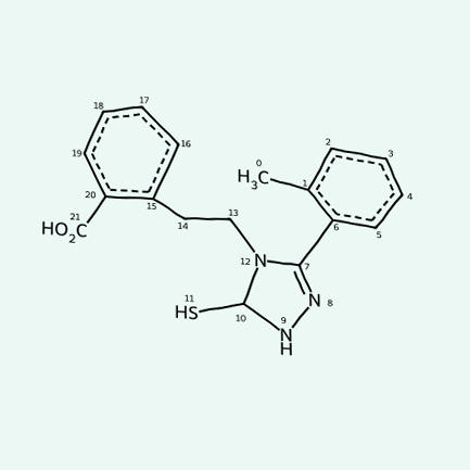 Cc1ccccc1C1=NNC(S)N1CCc1ccccc1C(=O)O